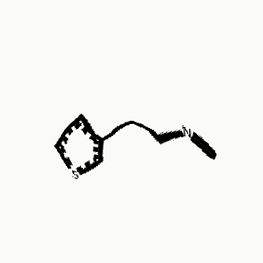 C=NCCc1ccsc1